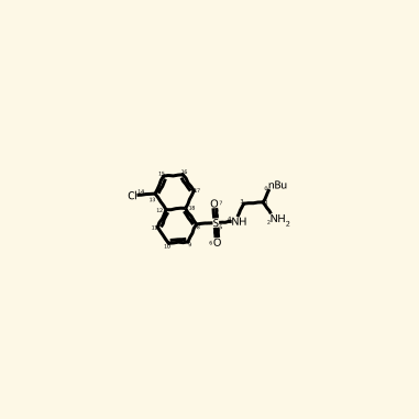 CCCCC(N)CNS(=O)(=O)c1cccc2c(Cl)cccc12